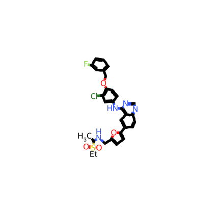 CCS(=O)(=O)C(C)NCc1ccc(-c2ccc3ncnc(Nc4ccc(OCc5cccc(F)c5)c(Cl)c4)c3c2)o1